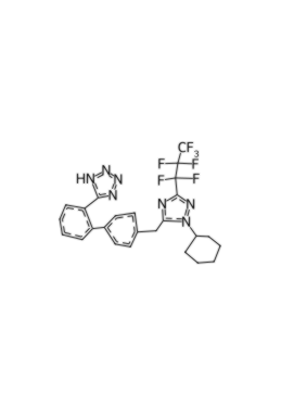 FC(F)(F)C(F)(F)C(F)(F)c1nc(Cc2ccc(-c3ccccc3-c3nnn[nH]3)cc2)n(C2CCCCC2)n1